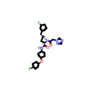 O=C(Nc1ccc(Oc2ccc(F)cc2)cc1)[C@@H]1C[C@@H](Cc2cccc(F)c2)CN1C(=O)Cn1cncn1